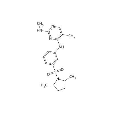 CNc1ncc(C)c(Nc2cccc(S(=O)(=O)N3C(C)CCC3C)c2)n1